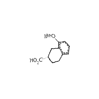 COc1cccc2c1C[C@@H](C(=O)O)CC2